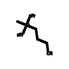 CCC[N+](C)(CCC)CCCC#N